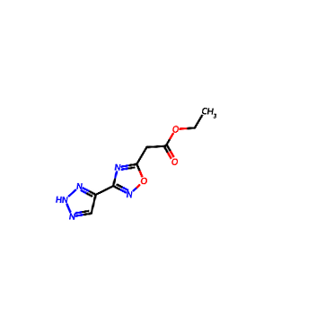 CCOC(=O)Cc1nc(-c2cn[nH]n2)no1